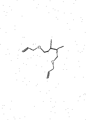 C=CCOCC(C)C(C)COCC=C